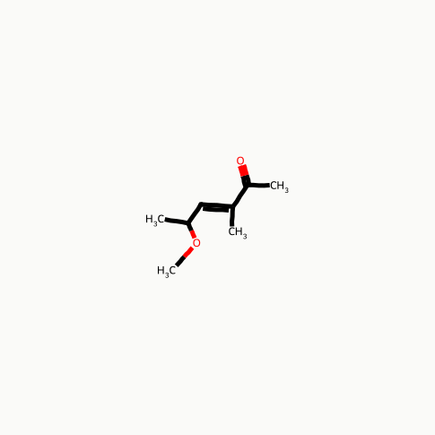 COC(C)/C=C(\C)C(C)=O